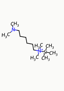 CN(C)CCCCCC[N+](C)(C)[Si](C)(C)C